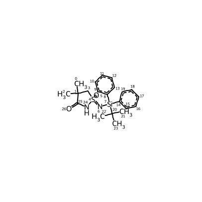 CC1(C)CS(=O)(=N[Si](c2ccccc2)(c2ccccc2)C(C)(C)C)NC1=O